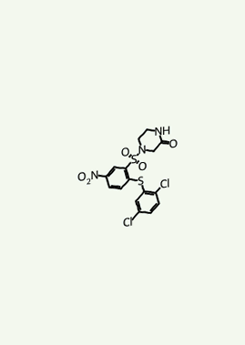 O=C1CN(S(=O)(=O)c2cc([N+](=O)[O-])ccc2Sc2cc(Cl)ccc2Cl)CCN1